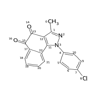 Cc1nn(-c2ccc(Cl)cc2)c2c1C(=O)C(=O)c1ccccc1-2